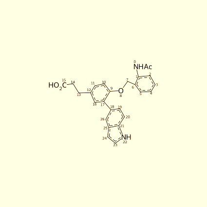 CC(=O)Nc1ccccc1COc1ccc(CCC(=O)O)cc1-c1ccc2[nH]ccc2c1